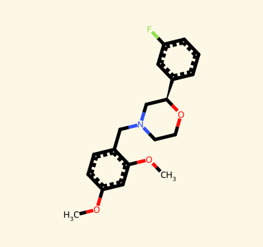 COc1ccc(CN2CCO[C@H](c3cccc(F)c3)C2)c(OC)c1